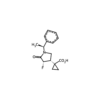 C[C@@H](c1ccccc1)N1C[C@H](C2(C(=O)O)CC2)[C@H](F)C1=O